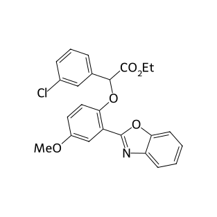 CCOC(=O)C(Oc1ccc(OC)cc1-c1nc2ccccc2o1)c1cccc(Cl)c1